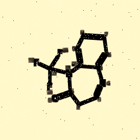 O=C1CC=Nc2ccccc2N1C(F)(F)F